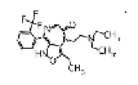 CCC1=C2C(=C(c3ccccc3C(F)(F)F)N=CC(=O)N2CCN(CC)CC)NO1